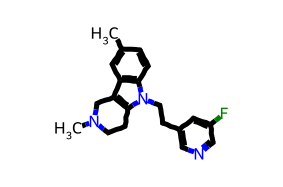 Cc1ccc2c(c1)c1c(n2CCc2cncc(F)c2)CCN(C)C1